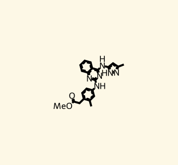 COC(=O)Cc1ccc(Nc2nc(Nc3cc(C)n[nH]3)c3ccccc3n2)cc1C